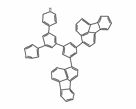 C1=CC(c2cc(-c3ccncc3)cc(-c3cc(-c4ccc5c6c(cccc46)-c4ccccc4-5)cc(-c4ccc5c6c(cccc46)-c4ccccc4-5)c3)c2)=CCN1